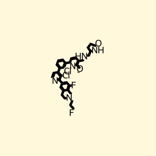 COc1nc(-c2cccc(-c3ccnc(-c4cc(F)c5c(c4)CCN(CCCF)C5)c3Cl)c2Cl)ccc1CNCC1CCC(=O)N1